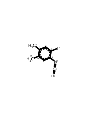 Cc1cc(I)c(N=C=S)cc1C